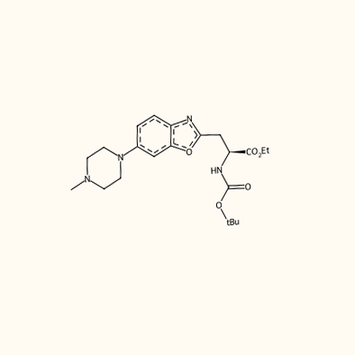 CCOC(=O)[C@H](Cc1nc2ccc(N3CCN(C)CC3)cc2o1)NC(=O)OC(C)(C)C